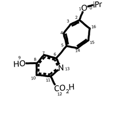 CC(C)OC1=CC=C(c2cc(O)cc(C(=O)O)n2)C=CC1